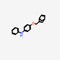 C1=CC2CC1CC2COc1ccc(Nc2ccccc2)cc1